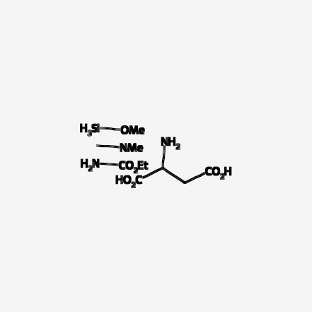 CCOC(N)=O.CNC.CO[SiH3].NC(CC(=O)O)C(=O)O